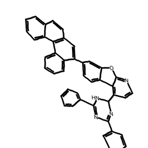 c1ccc(C2=NC(c3ccnc4oc5cc(-c6cc7ccc8ccccc8c7c7ccccc67)ccc5c34)NC(c3ccccc3)=N2)cc1